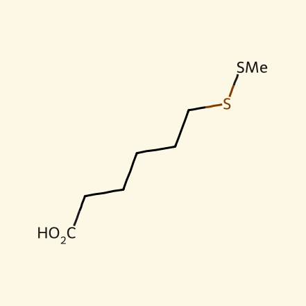 CSSCCCCCC(=O)O